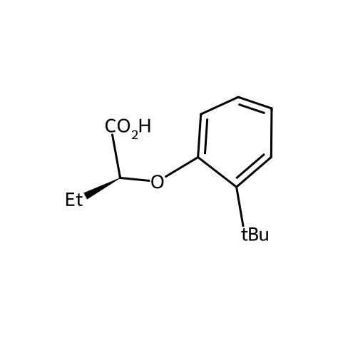 CC[C@H](Oc1ccccc1C(C)(C)C)C(=O)O